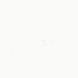 COC(=O)C1=C[C@@H](N/C(C)=N\C(=O)OC(C)(C)C)[C@H](C)[C@@H]([C@H](OCC(=O)O)[C@H]2COC(=O)O2)O1